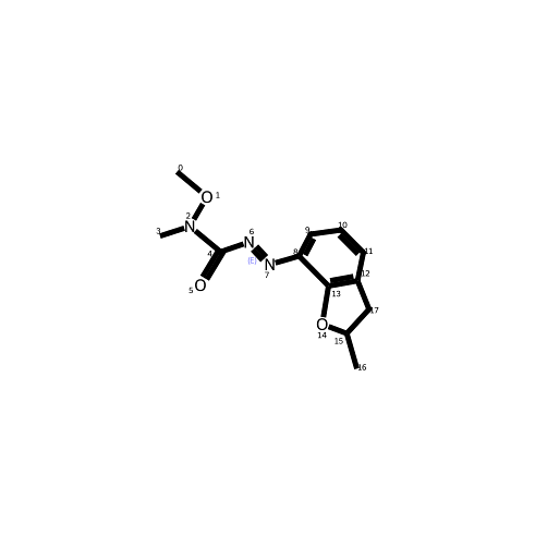 CON(C)C(=O)/N=N/c1cccc2c1OC(C)C2